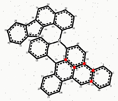 c1ccc(-c2ccc(N(c3ccccc3-c3cc4ccccc4c4ccccc34)c3cccc4ccc5c6ccccc6sc5c34)cc2)cc1